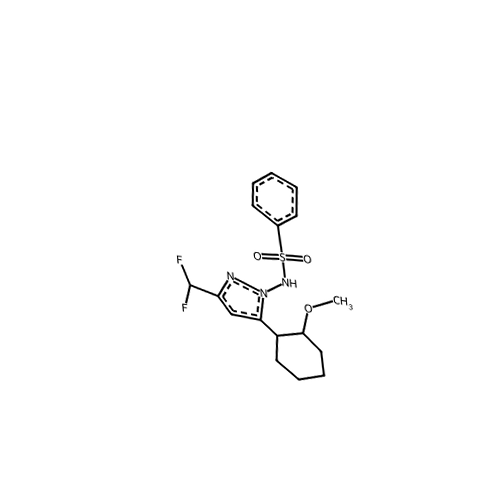 COC1CCCCC1c1cc(C(F)F)nn1NS(=O)(=O)c1ccccc1